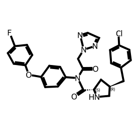 O=C(Cn1nccn1)N(C(=O)[C@@H]1C[C@@H](Cc2ccc(Cl)cc2)CN1)c1ccc(Oc2ccc(F)cc2)cc1